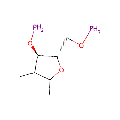 CC1O[C@@H](COP)[C@H](OP)C1C